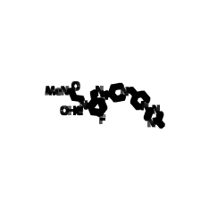 CNC(=O)CCN(C=O)c1cc(F)cc2c1cnn2C1CCN(CC2CCN(c3cnc(C)cn3)CC2)CC1